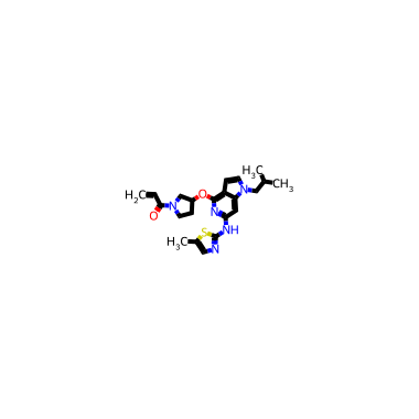 C=CC(=O)N1CCC(Oc2nc(Nc3ncc(C)s3)cc3c2ccn3CC(C)C)C1